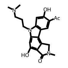 CC(=O)c1cc2c3c4c(c(O)cc3n(CCCN(C)C)c2cc1O)C(=O)N(C)C4